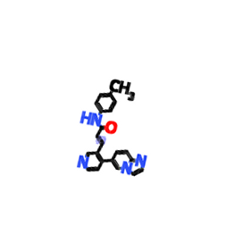 Cc1ccc(NC(=O)/C=C/c2cnccc2-c2ccc3nccn3c2)cc1